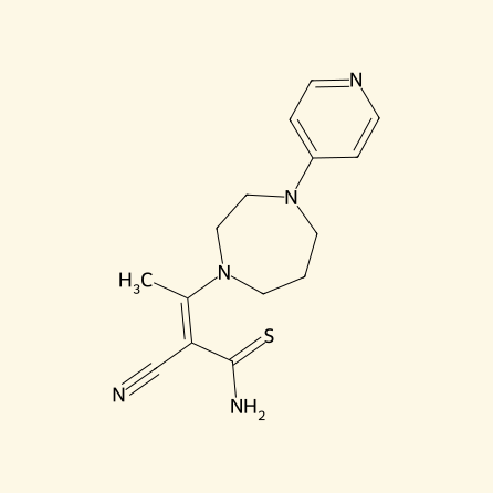 CC(=C(C#N)C(N)=S)N1CCCN(c2ccncc2)CC1